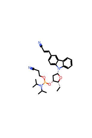 CC[C@H]1O[C@@H](n2c3ccccc3c3cc(/C=C/C#N)ccc32)C[C@H]1OP(OCCC#N)N(C(C)C)C(C)C